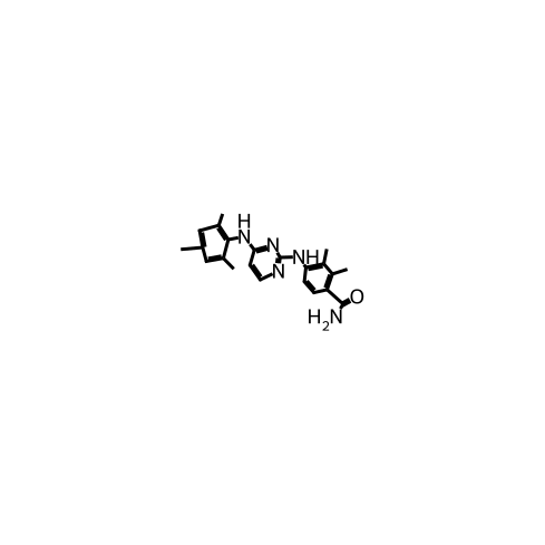 Cc1cc(C)c(Nc2ccnc(Nc3ccc(C(N)=O)c(C)c3C)n2)c(C)c1